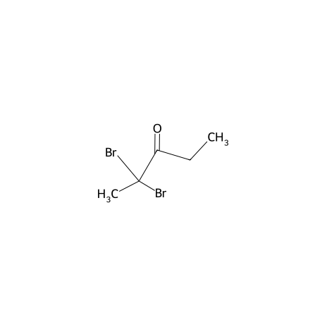 CCC(=O)C(C)(Br)Br